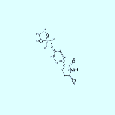 O=C1CCC(c2ccc(C3CC4(C3)OCCO4)cc2)C(=O)N1